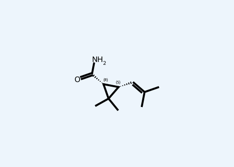 CC(C)=C[C@H]1[C@@H](C(N)=O)C1(C)C